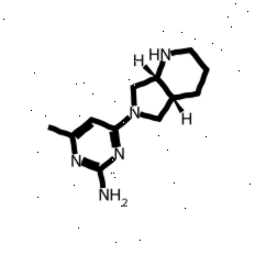 Cc1cc(N2C[C@H]3CCCN[C@H]3C2)nc(N)n1